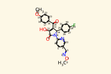 CO/N=C/c1ccc(N2C(=O)C(O)=C(C(=O)c3ccc(OC)cc3)C2c2ccc(F)cc2)nc1